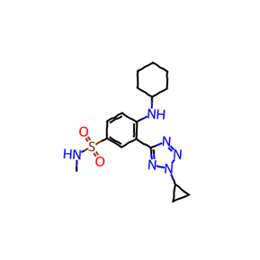 CNS(=O)(=O)c1ccc(NC2CCCCC2)c(-c2nnn(C3CC3)n2)c1